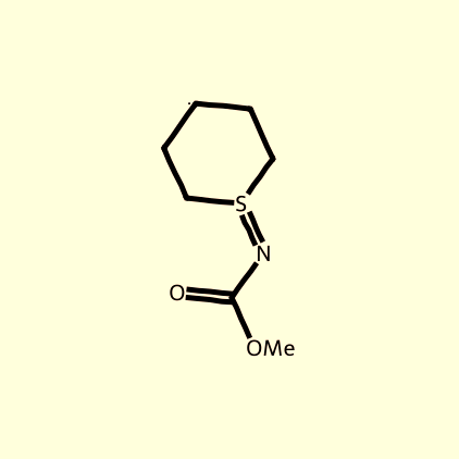 COC(=O)N=S1CC[CH]CC1